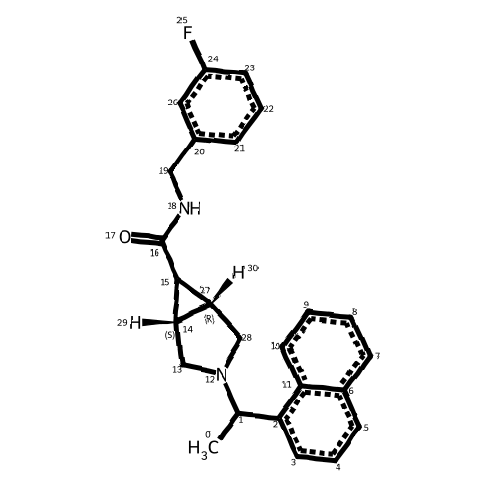 CC(c1cccc2ccccc12)N1C[C@@H]2C(C(=O)NCc3cccc(F)c3)[C@@H]2C1